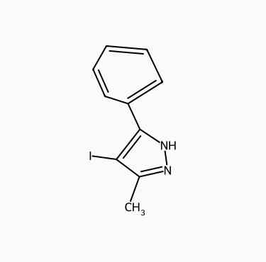 Cc1n[nH]c(-c2ccccc2)c1I